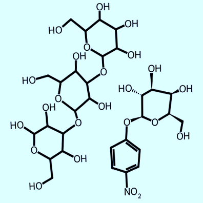 O=[N+]([O-])c1ccc(O[C@@H]2O[C@H](CO)[C@H](O)[C@H](O)[C@H]2O)cc1.OCC1OC(OC2C(O)C(CO)OC(OC3C(O)C(O)OC(CO)C3O)C2O)C(O)C(O)C1O